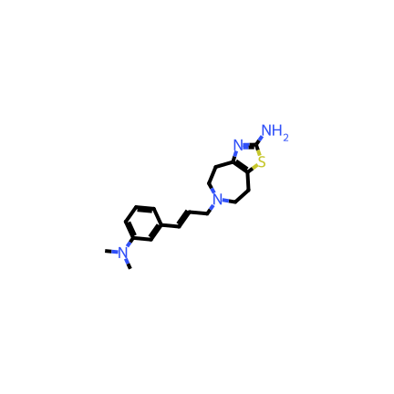 CN(C)c1cccc(C=CCN2CCc3nc(N)sc3CC2)c1